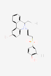 CCC1c2ccccc2-c2cc(Br)ccc2N1C=CCS(=O)(=O)c1ccc(O)c(C)c1